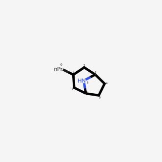 CCCC1CC2CCC(C1)N2